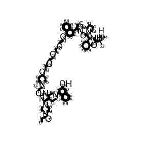 C=CC(=O)N1CCN(c2nc(O[C@H](C)CN3CCC(OCCOCCOCCOCCOc4ccc(-c5csc([C@@H]6CCCN6C(=O)C(NC(=O)[C@H](C)NC)C6CCCCC6)n5)c5ccccc45)CC3)nc3c2CCN(c2cc(O)cc4ccccc24)C3)CC1